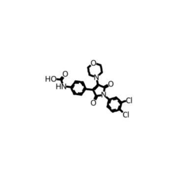 O=C(O)Nc1ccc(C2=C(N3CCOCC3)C(=O)N(c3ccc(Cl)c(Cl)c3)C2=O)cc1